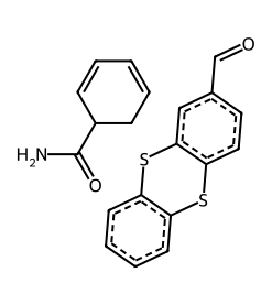 NC(=O)C1C=CC=CC1.O=Cc1ccc2c(c1)Sc1ccccc1S2